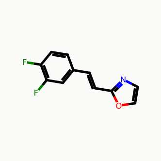 Fc1ccc(C=Cc2ncco2)cc1F